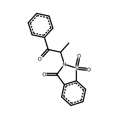 CC(C(=O)c1ccccc1)N1C(=O)c2ccccc2S1(=O)=O